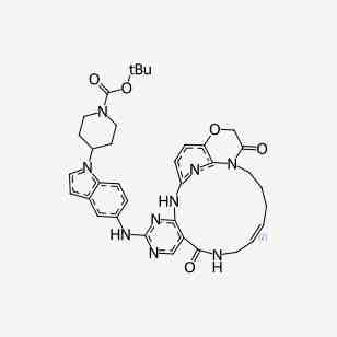 CC(C)(C)OC(=O)N1CCC(n2ccc3cc(Nc4ncc5c(n4)Nc4ccc6c(n4)N(CCC/C=C\CNC5=O)C(=O)CO6)ccc32)CC1